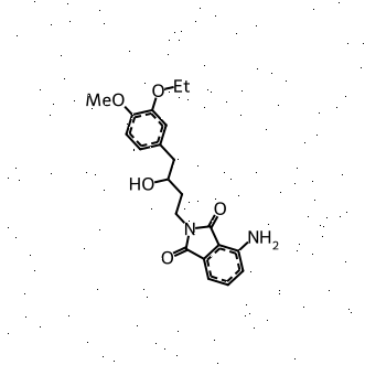 CCOc1cc(CC(O)CCN2C(=O)c3cccc(N)c3C2=O)ccc1OC